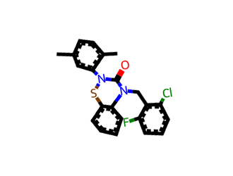 Cc1ccc(C)c(N2Sc3ccccc3N(Cc3c(F)cccc3Cl)C2=O)c1